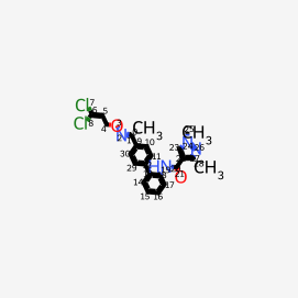 CC(=NOCC=C(Cl)Cl)c1ccc(-c2ccccc2NC(=O)c2cn(C)nc2C)cc1